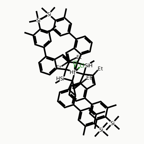 CCC1=Cc2c(-c3cc(C)c([Si](C)(C)C)c(C)c3)cccc2[C]12[SiH](C)[C]1(C(CC)=Cc3c(-c4cc(C)c([Si](C)(C)C)c(C)c4)cccc31)[Hf]21([Cl])([Cl])[C]2(C(CC)=Cc3c(-c4cc(C)c([Si](C)(C)C)c(C)c4)cccc32)[SiH](C)[C]12C(CC)=Cc1c(-c3cc(C)c([Si](C)(C)C)c(C)c3)cccc12